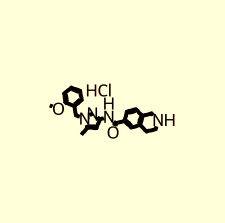 COc1ccccc1Cn1nc(NC(=O)c2ccc3c(c2)CCNC3)cc1C.Cl